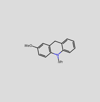 CCCN1c2ccccc2Cc2cc(OC)ccc21